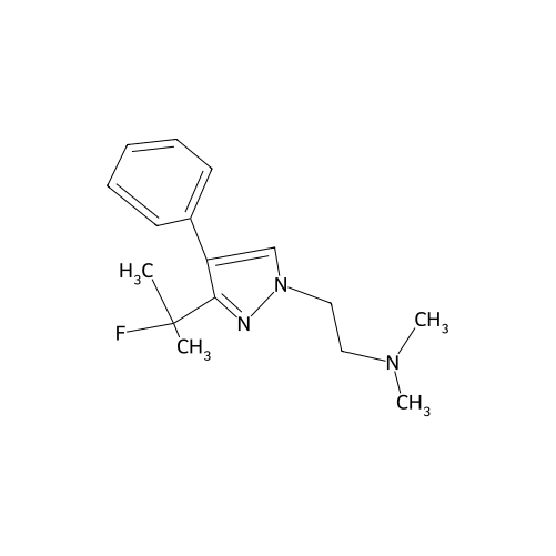 CN(C)CCn1cc(-c2ccccc2)c(C(C)(C)F)n1